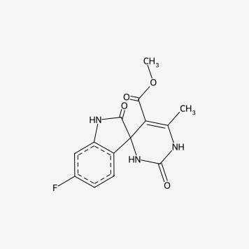 COC(=O)C1=C(C)NC(=O)NC12C(=O)Nc1cc(F)ccc12